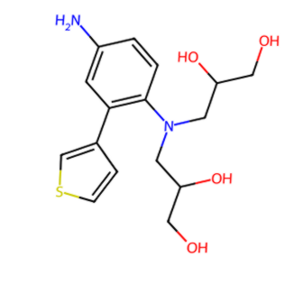 Nc1ccc(N(CC(O)CO)CC(O)CO)c(-c2ccsc2)c1